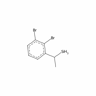 CC([SiH3])c1cccc(Br)c1Br